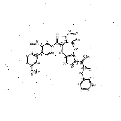 COc1cccc(-c2ccc(C(=O)N3Cc4ccc(C(=O)N(C)Cc5cccnc5)n4Cc4ccccc43)cc2OC)c1